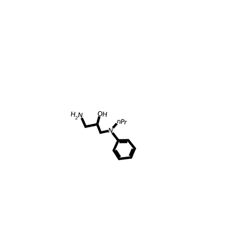 CCCN(CC(O)CN)c1ccccc1